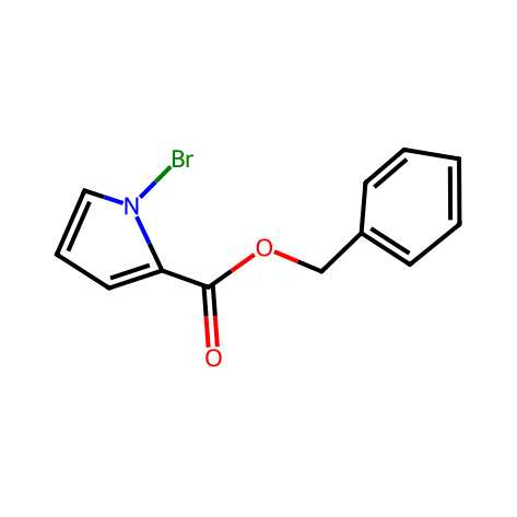 O=C(OCc1ccccc1)c1cccn1Br